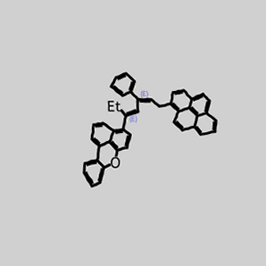 CC/C(=C\C(=C/Cc1ccc2ccc3cccc4ccc1c2c34)c1ccccc1)c1ccc2c3c(cccc13)-c1ccccc1O2